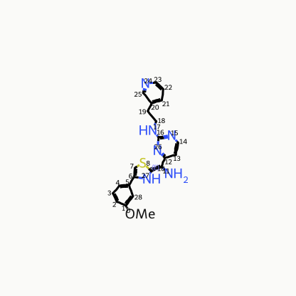 COc1cccc(C2=CS/C(=C(/N)c3ccnc(NCCc4cccnc4)n3)N2)c1